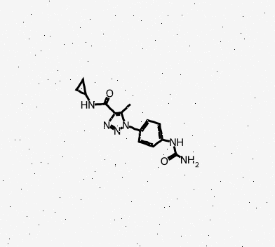 Cc1c(C(=O)NC2CC2)nnn1-c1ccc(NC(N)=O)cc1